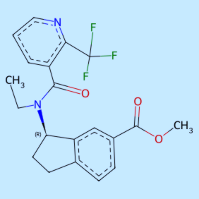 CCN(C(=O)c1cccnc1C(F)(F)F)[C@@H]1CCc2ccc(C(=O)OC)cc21